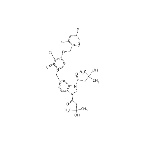 CC(C)(O)CC(=O)N1CN(C(=O)CC(C)(C)O)c2cc(Cn3ccc(OCc4ccc(F)cc4F)c(Cl)c3=O)ccc21